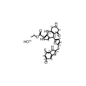 CCOC(=O)c1[nH]cc2c1NC1=C(C(=O)CNC1)C2c1ccc(Sc2nc3cc(Cl)cc(C)c3[nH]2)o1.Cl